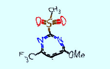 COc1[c]c(C(F)(F)F)nc(S(C)(=O)=O)n1